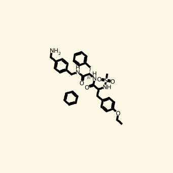 CCOc1ccc(CC(NS(C)(=O)=O)C(=O)N[C@@H](Cc2ccccc2)C(=O)NCc2ccc(CN)cc2)cc1.c1ccccc1